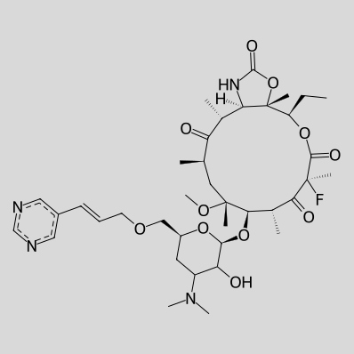 CC[C@H]1OC(=O)[C@@](C)(F)C(=O)[C@H](C)[C@@H](O[C@@H]2O[C@H](COC/C=C/c3cncnc3)CC(N(C)C)C2O)[C@](C)(OC)C[C@@H](C)C(=O)[C@H](C)[C@H]2NC(=O)O[C@@]21C